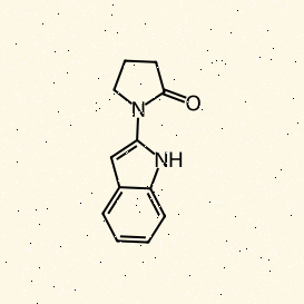 O=C1CCCN1c1cc2ccccc2[nH]1